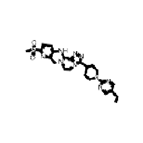 CCc1cnc(N2CCC(c3nnc4c(Nc5ccc(S(C)(=O)=O)nc5C)nccn34)CC2)nc1